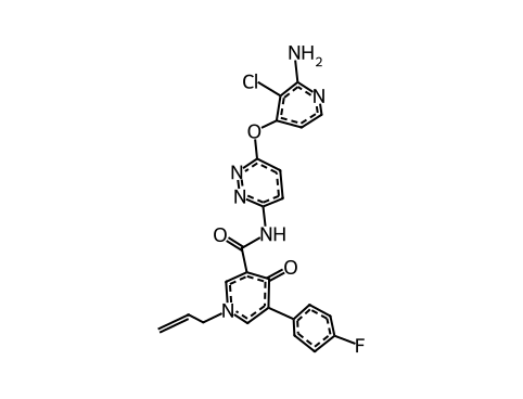 C=CCn1cc(C(=O)Nc2ccc(Oc3ccnc(N)c3Cl)nn2)c(=O)c(-c2ccc(F)cc2)c1